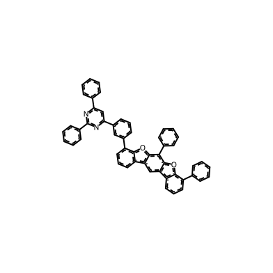 c1ccc(-c2cc(-c3cccc(-c4cccc5c4oc4c(-c6ccccc6)c6oc7c(-c8ccccc8)cccc7c6cc45)c3)nc(-c3ccccc3)n2)cc1